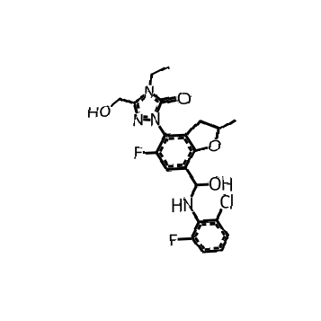 CCn1c(CO)nn(-c2c(F)cc(C(O)Nc3c(F)cccc3Cl)c3c2CC(C)O3)c1=O